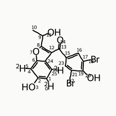 [2H]c1c(O)c([2H])c2oc(C(C)O)c(C(=O)c3cc(Br)c(O)c(Br)c3)c2c1[2H]